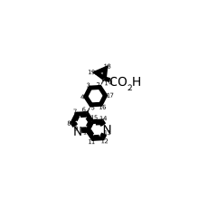 O=C(O)C1([C@H]2CC[C@@H](c3ccnc4ccncc43)CC2)CC1